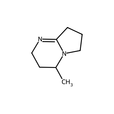 CC1CCN=C2CCCN21